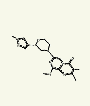 CSc1nc(N2CCO[C@@H](c3cnn(C)c3)C2)cn2c(=O)c(C)c(C)nc12